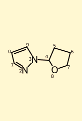 c1cnn(C2CCCO2)c1